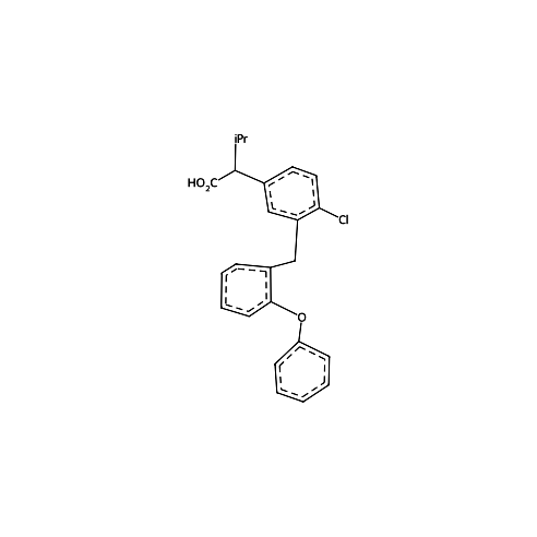 CC(C)C(C(=O)O)c1ccc(Cl)c(Cc2ccccc2Oc2ccccc2)c1